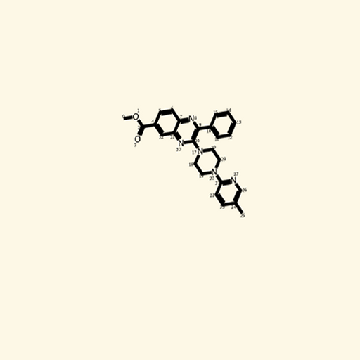 COC(=O)c1ccc2nc(-c3ccccc3)c(N3CCN(c4ccc(C)cn4)CC3)nc2c1